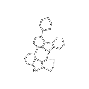 c1ccc(-c2ccc3c4cccc5[nH]c6cccc(c6c54)n4c5ccccc5c2c34)cc1